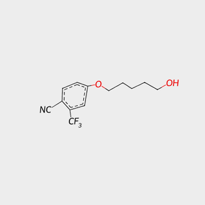 N#Cc1ccc(OCCCCCO)cc1C(F)(F)F